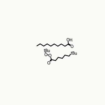 CC(C)(C)CCCCCC(=O)OOC(C)(C)C.CCCCCCCCCC(=O)O